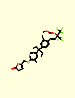 CCC(CC)(c1ccc(C=CC(OCOC)(C(F)(F)F)C(F)(F)F)c(C)c1)c1ccc(OCC2=CCC(=O)O2)c(C)c1